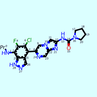 CC(C)Nc1c(F)c(Cl)c(-c2cn3cc(NC(=O)N4CCCC4)nc3cn2)c2cn[nH]c12